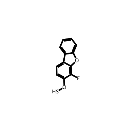 Fc1c(OS)ccc2c1oc1ccccc12